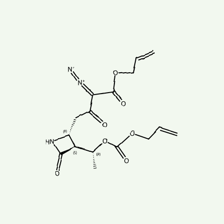 C=CCOC(=O)O[C@H](C)[C@H]1C(=O)N[C@@H]1CC(=O)C(=[N+]=[N-])C(=O)OCC=C